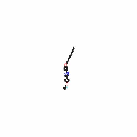 CCCCCCCCCCCCOc1ccc(-c2ncc(-c3ccc(OCC(F)C(C)C)cc3)cn2)cc1